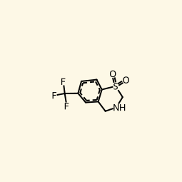 O=S1(=O)CNCc2cc(C(F)(F)F)ccc21